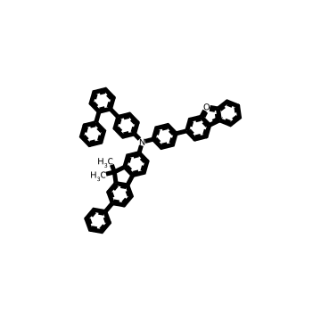 CC1(C)c2cc(-c3ccccc3)ccc2-c2ccc(N(c3ccc(-c4ccc5c(c4)oc4ccccc45)cc3)c3ccc(-c4ccccc4-c4ccccc4)cc3)cc21